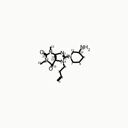 C=CCCn1c(N2CCCC(N)C2)nc2c1c(=O)n(C)c(=O)n2C